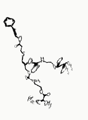 C=C(C)C(=O)OCCNC(=O)OCC(CSCCC(=O)O/C=C/c1ccccc1)OC(=O)NCCOC(=O)C(=C)C